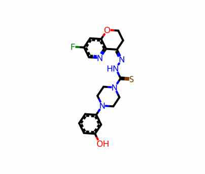 Oc1cccc(N2CCN(C(=S)N/N=C3/CCOc4cc(F)cnc43)CC2)c1